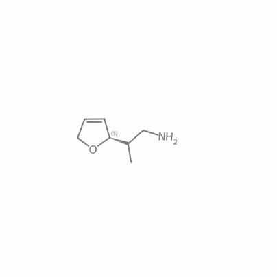 CC(CN)[C@@H]1C=CCO1